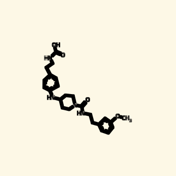 COc1cccc(CCNC(=O)N2CCC(Nc3ccc(CCNC(=O)O)cc3)CC2)c1